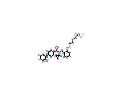 O=C(O)CCCCCOc1ccccc1CN(C(=O)c1ccc(-c2ccccc2F)cc1)C1(F)CC1